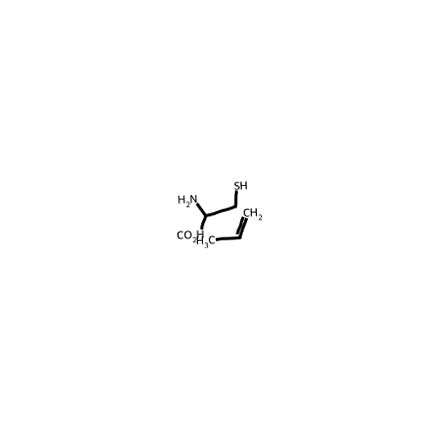 C=CC.NC(CS)C(=O)O